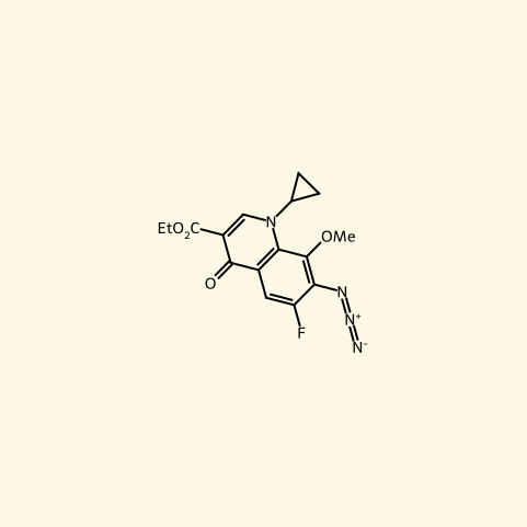 CCOC(=O)c1cn(C2CC2)c2c(OC)c(N=[N+]=[N-])c(F)cc2c1=O